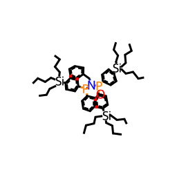 CCCC[Si](CCCC)(CCCC)c1ccc(P(c2ccc([Si](CCCC)(CCCC)CCCC)cc2)N(Cc2ccccc2)P(c2ccc([Si](CCCC)(CCCC)CCCC)cc2)c2ccccc2OC)cc1